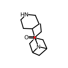 CCC(=O)N1C2CC1CN(C1CCNCC1)C2